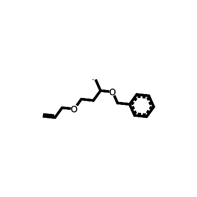 [CH2]C(CCOCC=C)OCc1ccccc1